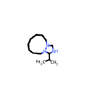 CC(C)C1NCN2CCCCCCCCN12